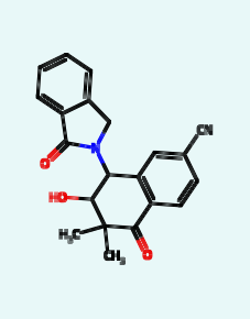 CC1(C)C(=O)c2ccc(C#N)cc2C(N2Cc3ccccc3C2=O)C1O